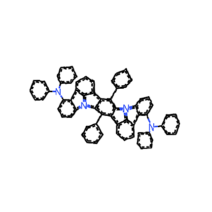 c1ccc(-c2c3c4cccc5c6c(N(c7ccccc7)c7ccccc7)cccc6n(c3c(-c3ccccc3)c3c6cccc7c8c(N(c9ccccc9)c9ccccc9)cccc8n(c23)c76)c54)cc1